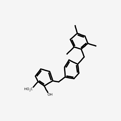 Cc1cc(C)c(Cc2ccc(Cc3cccc(C(=O)O)c3O)cc2)c(C)c1